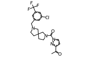 CC(=O)c1ccn(C(=O)N2CCC3(CCN(Cc4cc(Cl)cc(C(F)(F)F)c4)C3)C2)n1